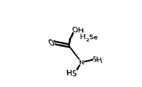 O=C(O)N(S)S.[SeH2]